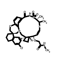 CNC(=O)CO[C@H]1C=CCC(C)[C@@H](C)S(=O)(=O)NC(=O)c2ccc3c(c2)N(C[C@@H]2CC[C@H]21)C[C@@]1(CCCc2cc(Cl)ccc21)CO3